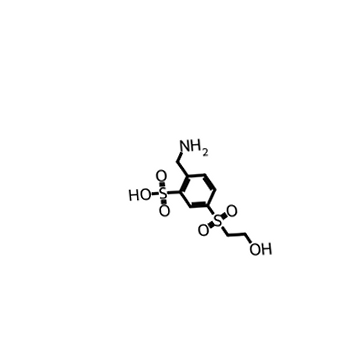 NCc1ccc(S(=O)(=O)CCO)cc1S(=O)(=O)O